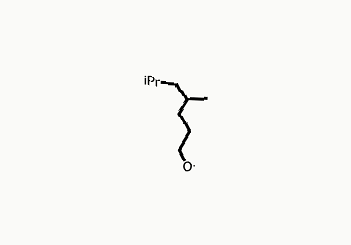 CC(C)CC(C)CCC[O]